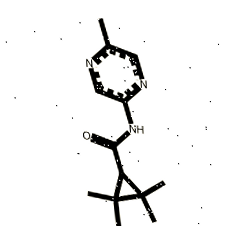 Cc1cnc(NC(=O)C2C(C)(C)C2(C)C)cn1